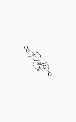 C[C@]12CCC3C(CC[C@]45CC(=O)CC[C@]34O5)C1CC1OC12